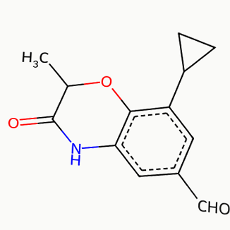 CC1Oc2c(cc(C=O)cc2C2CC2)NC1=O